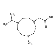 CC(C)N1CCN(C)CCN(CC(=O)O)CC1